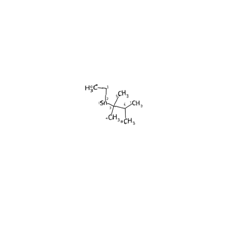 C[CH2][Sn][C](C)(C)C(C)C